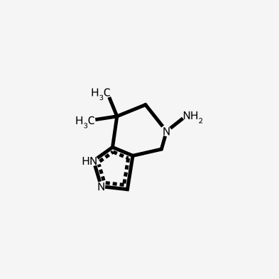 CC1(C)CN(N)Cc2cn[nH]c21